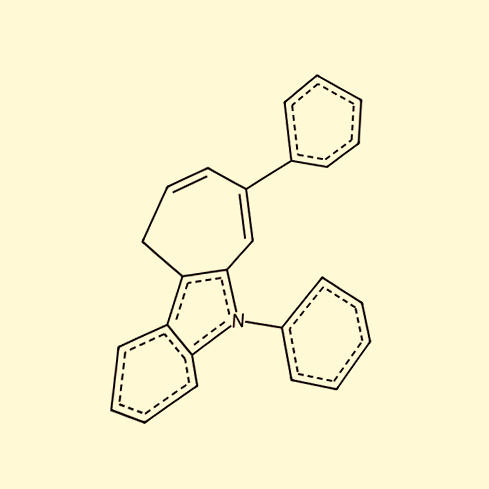 C1=CC(c2ccccc2)=Cc2c(c3ccccc3n2-c2ccccc2)C1